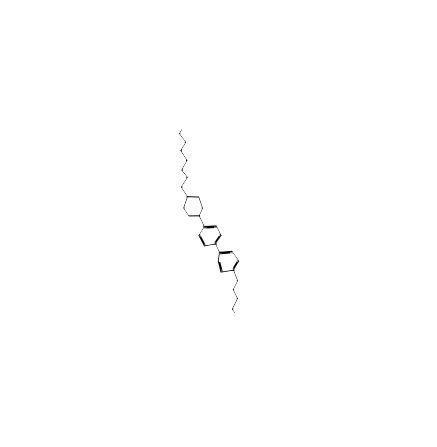 CCCCCCCCC1CCC(c2ccc(-c3ccc(CCCCC)cc3)cc2)CC1